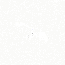 C=CCCC/C=C\CN(C)CCC(=C)C(=O)O